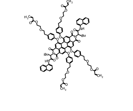 C=CC(=O)OCCOCCc1ccc(Oc2cc3c4c(cc(Oc5ccc(CCOCCOC(=O)C=C)cc5)c5c6c(Oc7ccc(CCOCCOC(=O)C=C)cc7)cc7c8c(cc(Oc9ccc(CCOCCOC(=O)C=C)cc9)c(c2c45)c86)C(=O)N(C(C(=O)Nc2cccc4ccccc24)C(C)CC)C7=O)C(=O)N(C(C(=O)Nc2cccc4ccccc24)C(C)CC)C3=O)cc1